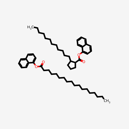 CCCCCCCCCCCCC1CCCC1C(=O)Oc1cccc2ccccc12.CCCCCCCCCCCCCCCCCC(=O)Oc1cccc2ccccc12